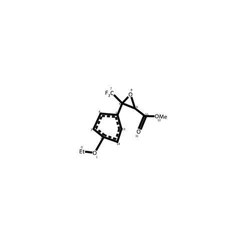 CCOc1ccc(C2(C(F)(F)F)OC2C(=O)OC)cc1